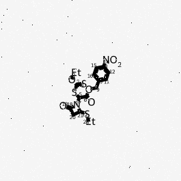 CCOC(=S)SC(C(=O)OCc1ccc([N+](=O)[O-])cc1)N1C(=O)CC1SCC